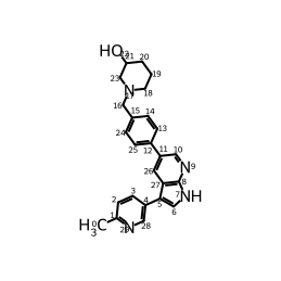 Cc1ccc(-c2c[nH]c3ncc(-c4ccc(CN5CCCC(O)C5)cc4)cc23)cn1